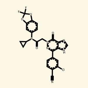 N#Cc1ccc(-c2nn(CC(=O)N(c3ccc4c(c3)OC(F)(F)O4)C3CC3)c(=O)c3nc[nH]c23)cc1Cl